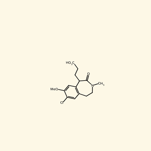 COc1cc2c(cc1Cl)CCN(C)C(=O)C2CCC(=O)O